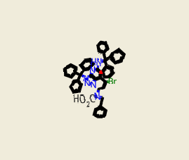 O=C(O)N(C/C=C(/Br)c1cc(NC(c2ccccc2)(c2ccccc2)c2ccccc2)nc2c1nnn2C(c1ccccc1)(c1ccccc1)c1ccccc1)Cc1ccccc1